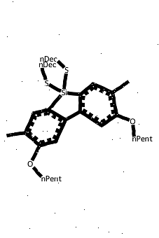 CCCCCCCCCCS[Si]1(SCCCCCCCCCC)c2cc(C)c(OCCCCC)cc2-c2cc(OCCCCC)c(C)cc21